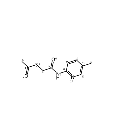 CC(=O)SCC(=O)Nc1ccc(C)cn1